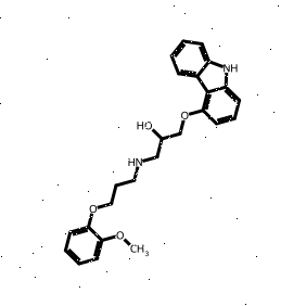 COc1ccccc1OCCCNCC(O)COc1cccc2[nH]c3ccccc3c12